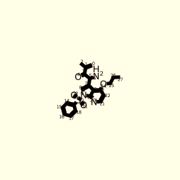 C=C(C)C(=O)C(N)c1cn(S(=O)(=O)c2ccccc2)c2nccc(OCCC)c12